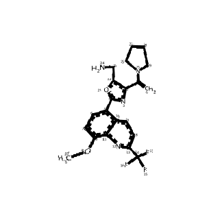 C=C(c1nc(-c2ccc(OC)c3nc(C(F)(F)F)ccc23)oc1CN)N1CCCC1